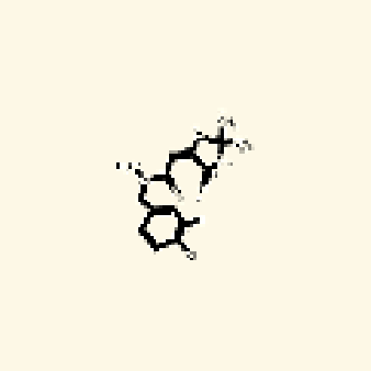 CN(Cc1ccc(Cl)c(Cl)c1)C(=O)C=C1OC(C)(C)OC1=O